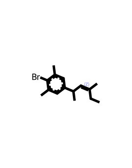 CC/C(C)=C\C(C)c1cc(C)c(Br)c(C)c1